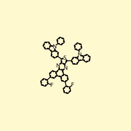 Fc1ccccc1-c1ccc2c(c1)c1cc(-c3ccccc3F)ccc1c1nc3c(-c4ccc5c6ccccc6n(-c6ccccc6)c5c4)sc(-c4ccc5c6ccccc6n(-c6ccccc6)c5c4)c3nc21